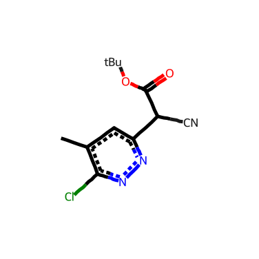 Cc1cc(C(C#N)C(=O)OC(C)(C)C)nnc1Cl